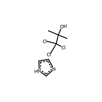 CC(C)(O)C(Cl)(Cl)Cl.c1c[nH]cn1